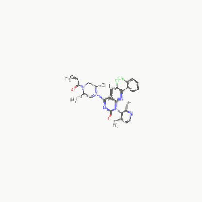 C=CC(=O)N1CC(C)N(c2nc(=O)n(-c3c(C)ccnc3C(C)C)c3nc(-c4ccccc4Cl)c(Cl)cc23)CC1C